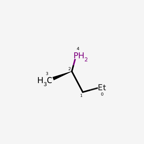 CCC[C@@H](C)P